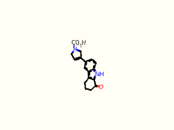 O=C1CCCc2c1[nH]c1ccc(C3=CCN(C(=O)O)C3)cc21